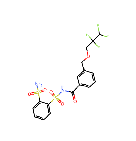 NS(=O)(=O)c1ccccc1S(=O)(=O)NC(=O)c1cccc(COCC(F)(F)C(F)F)c1